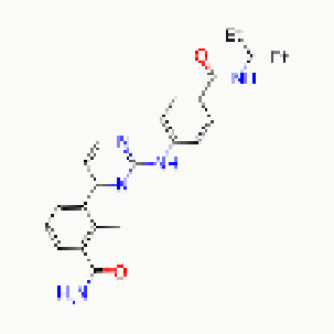 CCC(CC)NC(=O)c1ccc(Nc2nccc(-c3cccc(C(N)=O)c3C)n2)cc1